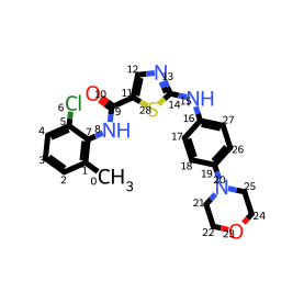 Cc1cccc(Cl)c1NC(=O)c1cnc(Nc2ccc(N3CCOCC3)cc2)s1